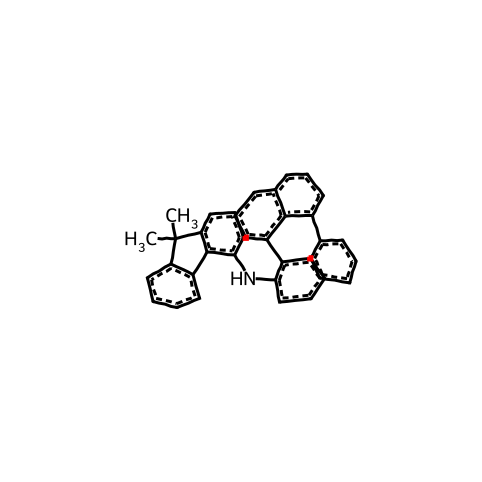 CC1(C)c2ccccc2-c2c(Nc3ccccc3-c3cccc4cccc(-c5ccccc5)c34)cccc21